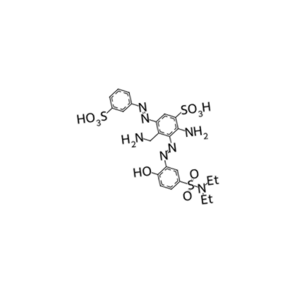 CCN(CC)S(=O)(=O)c1ccc(O)c(/N=N/c2c(N)c(S(=O)(=O)O)cc(/N=N/c3cccc(S(=O)(=O)O)c3)c2CN)c1